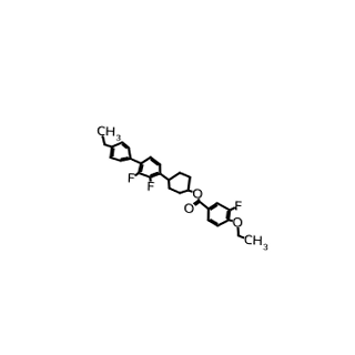 CCOc1ccc(C(=O)OC2CCC(c3ccc(-c4ccc(CC)cc4)c(F)c3F)CC2)cc1F